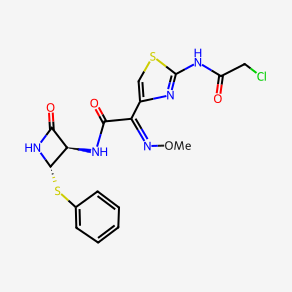 CON=C(C(=O)N[C@@H]1C(=O)N[C@H]1Sc1ccccc1)c1csc(NC(=O)CCl)n1